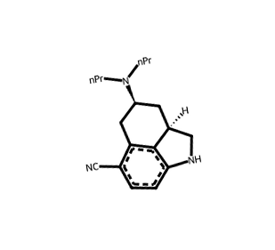 CCCN(CCC)[C@@H]1Cc2c(C#N)ccc3c2[C@H](CN3)C1